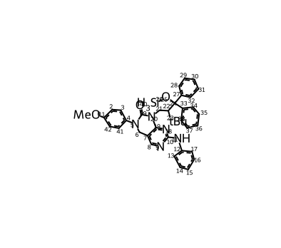 COc1ccc(N2Cc3cnc(Nc4ccccc4)nc3N(CC(C(C)(C)C)C(O[SiH3])(c3ccccc3)c3ccccc3)C2=O)cc1